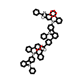 c1ccc(-c2nc3c(cc(N(c4ccc5c(c4)c4cccc(-c6ccc(-c7nc8cc(N(c9ccc%10c(c9)c9ccccc9n%10-c9ccccc9)c9ccccc9-c9ccccc9)c9ccccc9c8o7)cc6)c4n5-c4ccccc4)c4ccccc4-c4ccccc4)c4ccccc43)o2)cc1